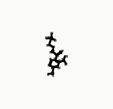 COc1ccc(C(=O)OCC[Si](C)(C)C)c(C(C)C)c1